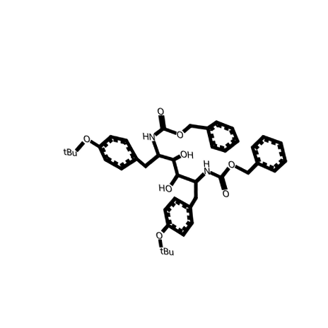 CC(C)(C)Oc1ccc(CC(NC(=O)OCc2ccccc2)C(O)C(O)C(Cc2ccc(OC(C)(C)C)cc2)NC(=O)OCc2ccccc2)cc1